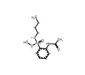 CC(=O)Nc1ccccc1[As](=O)(OO)OCCCN